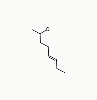 CCC=CCCC(C)[O]